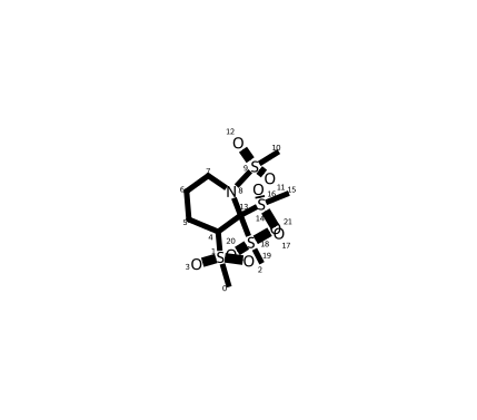 CS(=O)(=O)C1CCCN(S(C)(=O)=O)C1(S(C)(=O)=O)S(C)(=O)=O